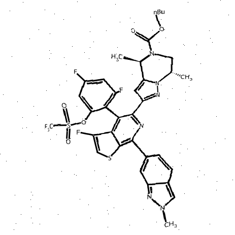 CCCCOC(=O)N1C[C@H](C)n2nc(-c3nc(-c4ccc5cn(C)nc5c4)c4scc(F)c4c3-c3c(F)cc(F)cc3OS(=O)(=O)C(F)(F)F)cc2[C@H]1C